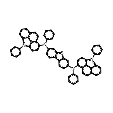 c1ccc(N(c2ccc3c(c2)sc2cc(N(c4ccccc4)c4ccc5c6c4ccc4cccc(c46)n5-c4ccccc4)ccc23)c2ccc3c4c2ccc2cccc(c24)n3-c2ccccc2)cc1